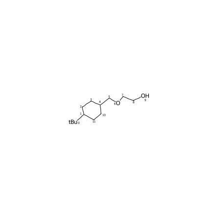 CC(C)(C)C1CCC(COCCO)CC1